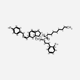 CCCCCCCCS(=O)(=O)N(CCc1ccccc1F)C[C@H]1CCC2=CC=C(/C=N\Cc3ccc(F)cc3)C[C@@]21C